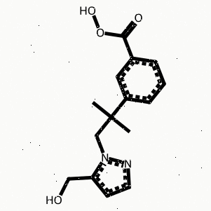 CC(C)(Cn1nccc1CO)c1cccc(C(=O)OO)c1